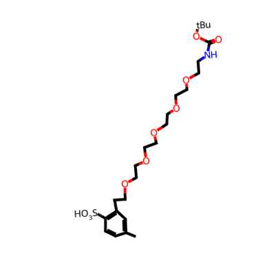 Cc1ccc(S(=O)(=O)O)c(CCOCCOCCOCCOCCOCCNC(=O)OC(C)(C)C)c1